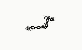 Cc1ccc(-c2n[nH]c3ccc(N4CCC5(CCN(CC(=O)N6CC=C(c7ccc(-c8ncn(C)n8)cc7)CC6)C5)C4=O)cc23)cn1